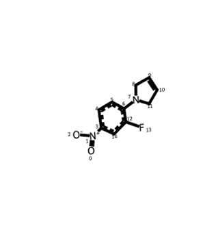 O=[N+]([O-])c1ccc(N2CC=CC2)c(F)c1